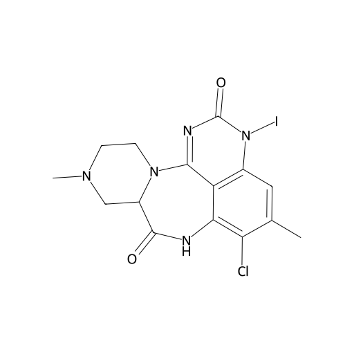 Cc1cc2c3c(nc(=O)n2I)N2CCN(C)CC2C(=O)Nc3c1Cl